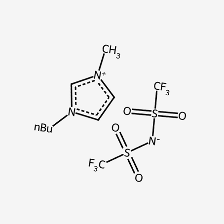 CCCCn1cc[n+](C)c1.O=S(=O)([N-]S(=O)(=O)C(F)(F)F)C(F)(F)F